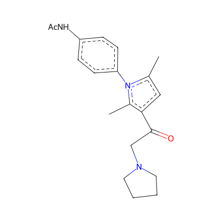 CC(=O)Nc1ccc(-n2c(C)cc(C(=O)CN3CCCC3)c2C)cc1